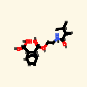 C=C(C(=O)NCCOC(=O)C1C2C=CC(C2)C1C(=O)O)C(C)C